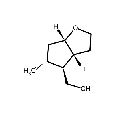 C[C@@H]1C[C@@H]2OCC[C@@H]2[C@H]1CO